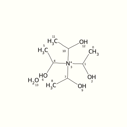 CC(O)[N+](C(C)O)(C(C)O)C(C)O.O